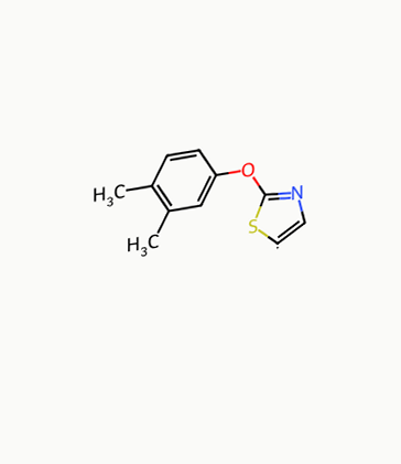 Cc1ccc(Oc2nc[c]s2)cc1C